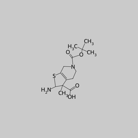 CC(C)(C)OC(=O)N1CCC2=C(C1)SC(N)C2(C)C(=O)O